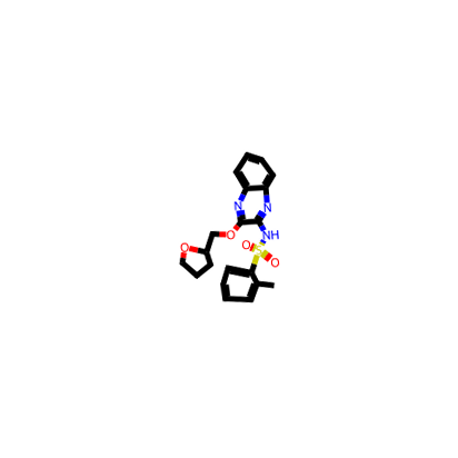 Cc1ccccc1S(=O)(=O)Nc1nc2ccccc2nc1OCC1CCCO1